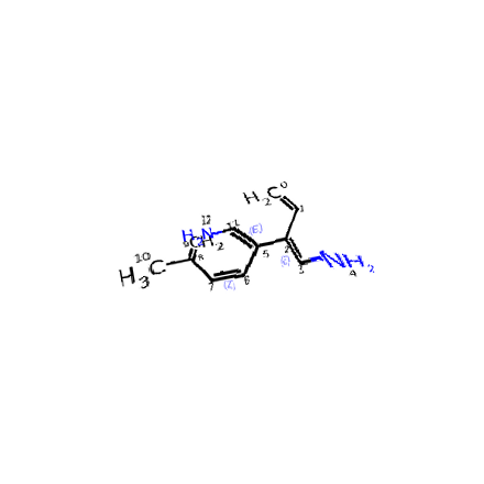 C=CC(=C\N)/C(/C=C\C(=C)C)=C/N